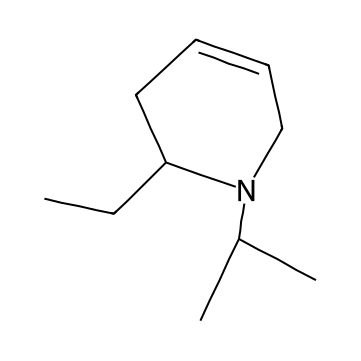 CCC1CC=CCN1C(C)C